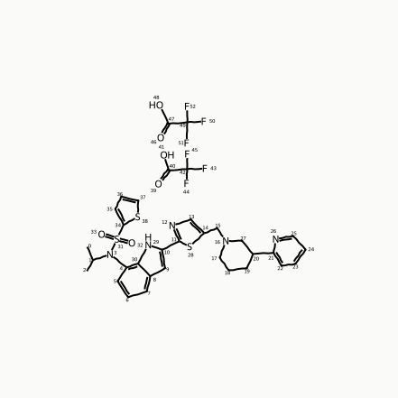 CC(C)N(c1cccc2cc(-c3ncc(CN4CCCC(c5ccccn5)C4)s3)[nH]c12)S(=O)(=O)c1cccs1.O=C(O)C(F)(F)F.O=C(O)C(F)(F)F